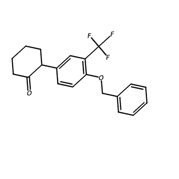 O=C1CCCCC1c1ccc(OCc2ccccc2)c(C(F)(F)F)c1